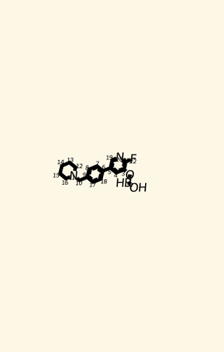 OBOc1cc(-c2ccc(CN3CCCCC3)cc2)cnc1F